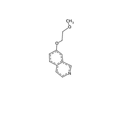 COCCOc1ccc2ccncc2c1